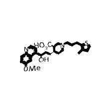 COc1ccc2nccc([C@@H](O)CC[C@@H]3CCN(CCCc4sccc4C)C[C@@H]3C(=O)O)c2c1